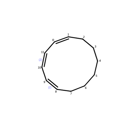 C1=CCCCCCC/C=C\C=C/1